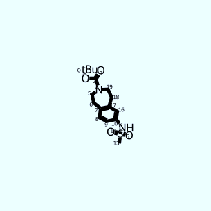 CC(C)(C)OC(=O)N1CCc2ccc(NS(C)(=O)=O)cc2CC1